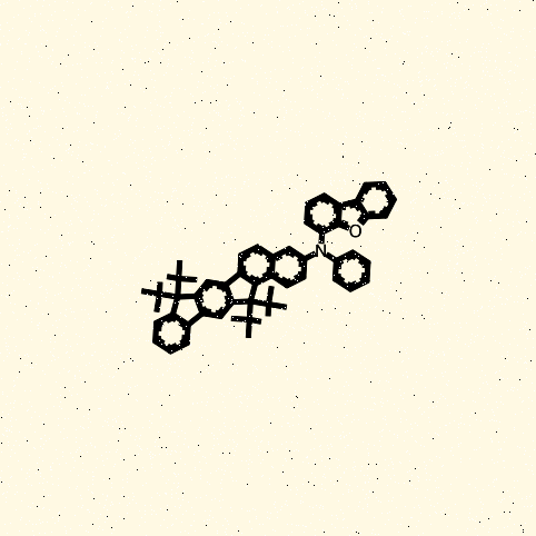 CC(C)(C)C1(C(C)(C)C)c2ccccc2-c2cc3c(cc21)-c1ccc2cc(N(c4ccccc4)c4cccc5c4oc4ccccc45)ccc2c1C3(C(C)(C)C)C(C)(C)C